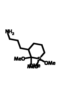 COC1(OC)C(CCCN)CCC[Si]1(OC)OC